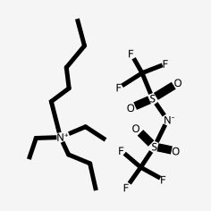 CCCCC[N+](CC)(CC)CCC.O=S(=O)([N-]S(=O)(=O)C(F)(F)F)C(F)(F)F